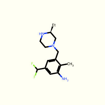 CC[C@H]1CN(Cc2cc(C(F)F)cc(N)c2C)CCN1